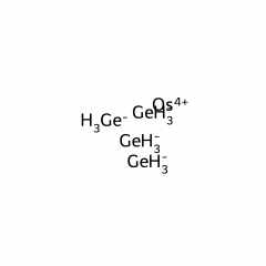 [GeH3-].[GeH3-].[GeH3-].[GeH3-].[Os+4]